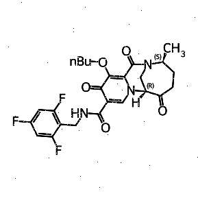 CCCCOc1c2n(cc(C(=O)NCc3c(F)cc(F)cc3F)c1=O)[C@@H]1CN(C2=O)[C@@H](C)CCC1=O